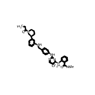 C=CC(=O)N1CCCC(c2cccc(NCc3ccc(Nc4ncc(C(F)(F)F)c(Nc5ccccc5C(=O)NC)n4)cc3)c2)C1